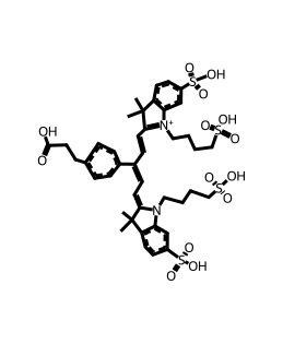 CC1(C)C(/C=C/C(=C/C=C2\N(CCCCS(=O)(=O)O)c3cc(S(=O)(=O)O)ccc3C2(C)C)c2ccc(CCC(=O)O)cc2)=[N+](CCCCS(=O)(=O)O)c2cc(S(=O)(=O)O)ccc21